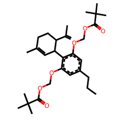 C=C(C)C1CCC(C)=CC1c1c(OCOC(=O)C(C)(C)C)cc(CCC)cc1OCOC(=O)C(C)(C)C